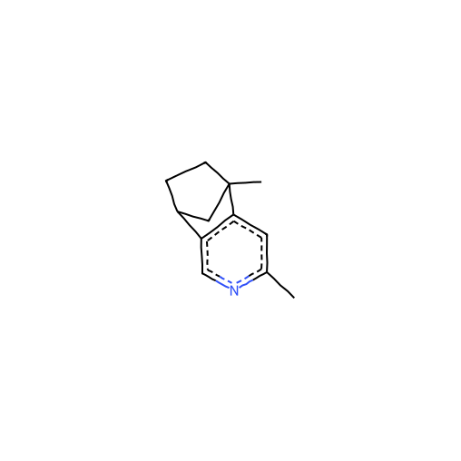 Cc1cc2c(cn1)C1CCC2(C)C1